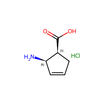 Cl.N[C@@H]1C=CC[C@@H]1C(=O)O